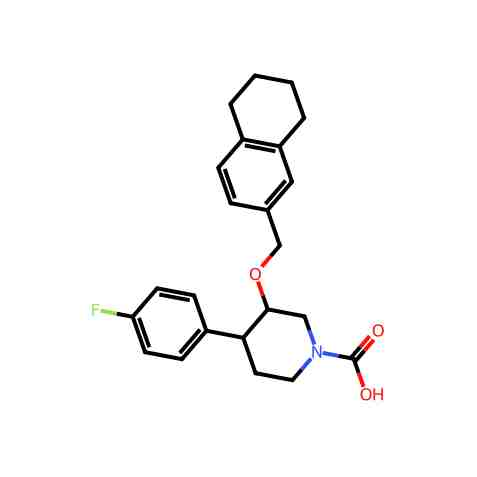 O=C(O)N1CCC(c2ccc(F)cc2)C(OCc2ccc3c(c2)CCCC3)C1